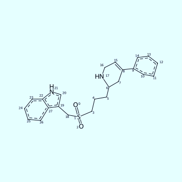 O=S(=O)(CCCC1CC(c2ccccc2)=CCN1)Cc1c[nH]c2ccccc12